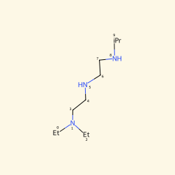 CCN(CC)CCNCCNC(C)C